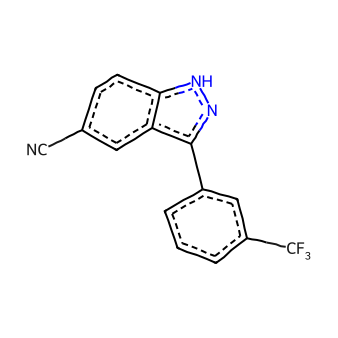 N#Cc1ccc2[nH]nc(-c3cccc(C(F)(F)F)c3)c2c1